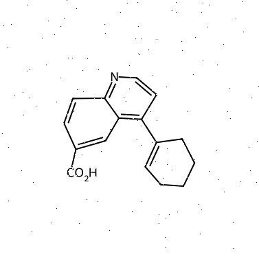 O=C(O)c1ccc2nccc(C3=CCCCC3)c2c1